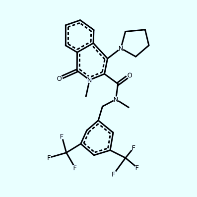 CN(Cc1cc(C(F)(F)F)cc(C(F)(F)F)c1)C(=O)c1c(N2CCCC2)c2ccccc2c(=O)n1C